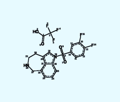 O=C(O)C(F)(F)F.O=S(=O)(c1ccc(F)c(F)c1)n1cc2c3c(cccc31)CNCC2